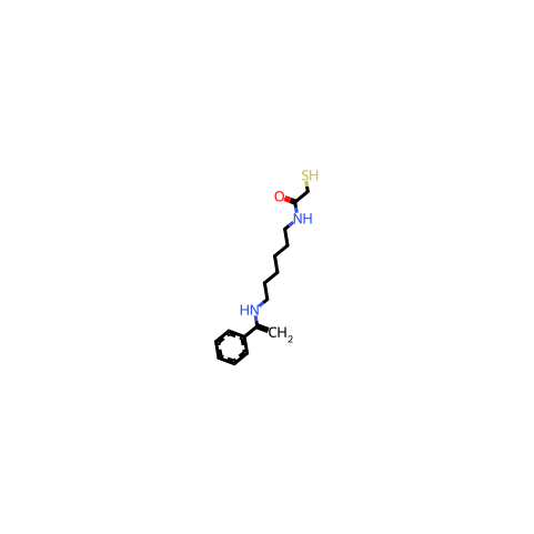 C=C(NCCCCCCNC(=O)CS)c1ccccc1